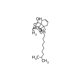 CCC(C)C1(C(=O)O)CC=CCC1(CCCCCCCCCC(C)C)C(=O)O